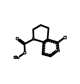 CC(C)(C)OC(=O)N1CCCc2c1ccnc2Cl